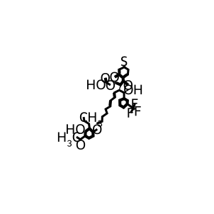 CCCc1c(OCCCCCC=CC=C[C@@H](c2c(OC(=O)O)oc3c(c2=O)=CCC(=S)C=3)[C@@H](O)c2cccc(C(F)(F)F)c2)ccc(C(C)=O)c1O